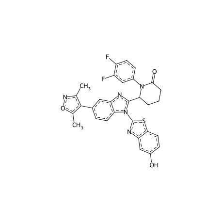 Cc1noc(C)c1-c1ccc2c(c1)nc(C1CCCC(=O)N1c1ccc(F)c(F)c1)n2-c1nc2cc(O)ccc2s1